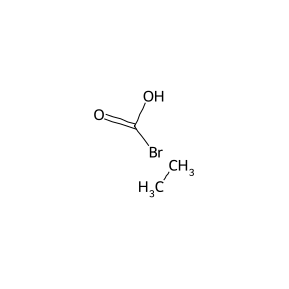 CC.O=C(O)Br